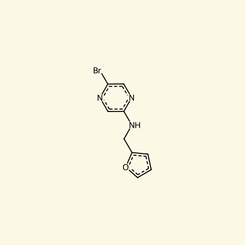 Brc1cnc(NCc2ccco2)cn1